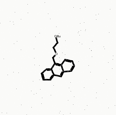 CC(C)COCCOCc1c2ccccc2cc2ccccc12